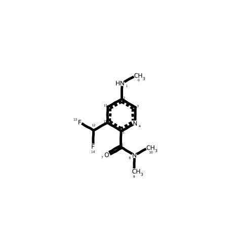 CNc1cnc(C(=O)N(C)C)c(C(F)F)c1